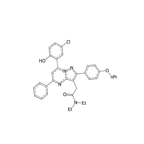 CCCOc1ccc(-c2nn3c(-c4cc(Cl)ccc4O)cc(-c4ccccc4)nc3c2CC(=O)N(CC)CC)cc1